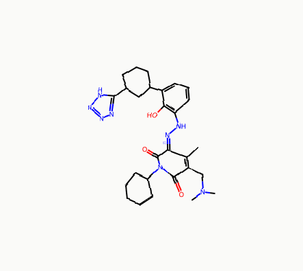 CC1=C(CN(C)C)C(=O)N(C2CCCCC2)C(=O)/C1=N/Nc1cccc(C2CCCC(c3nnn[nH]3)C2)c1O